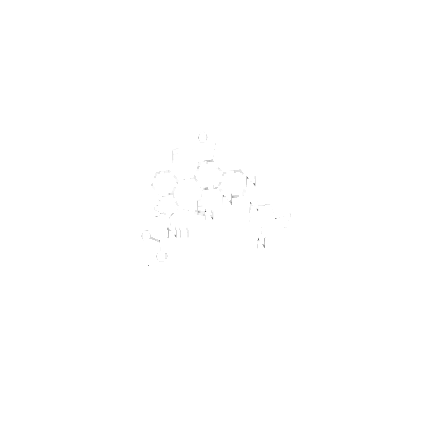 CN(C)[C@@H]1CN(c2ncc3c4c(c(-c5c(F)ccc6sc(NC(=O)OC(C)(C)C)c(C#N)c56)c(F)c3n2)COC4)CC12CC2